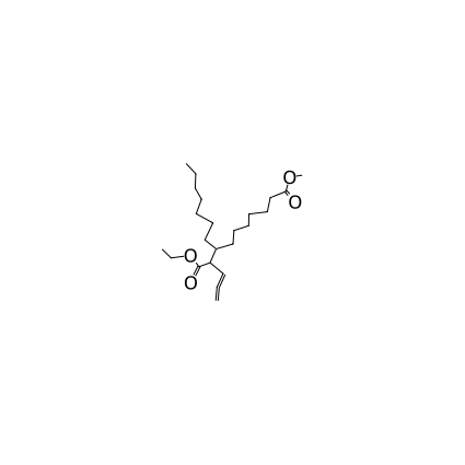 C=C=CC(C(=O)OCC)C(CCCCCCC)CCCCCCC(=O)OC